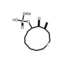 C=C1CCCCCCCCCC(OP(=O)(O)OC)C1=O